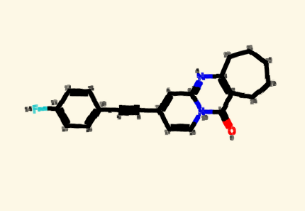 O=c1c2c(nc3cc(C#Cc4ccc(F)cc4)ccn13)CCCCC2